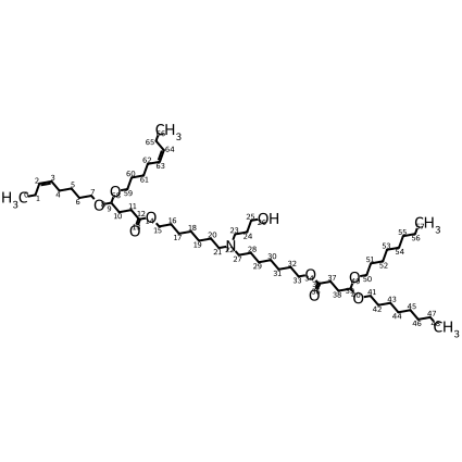 CC/C=C\CCCCOC(CCC(=O)OCCCCCCCN(CCCO)CCCCCCCOC(=O)CCC(OCCCCCCCC)OCCCCCCCC)OCCCC/C=C\CC